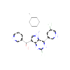 C[C@H]1CC[C@H](Cn2cc(C(O)c3cccnc3)c3nc(Cl)nc(-c4cncc(Cl)c4)c32)CC1